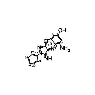 N=C1C(=Nc2ccc(O)cc2N)C(C(F)(F)F)=NN1c1ccccc1